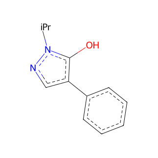 CC(C)n1ncc(-c2ccccc2)c1O